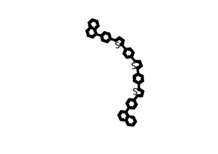 c1ccc2c(-c3ccc(-c4ccc(-c5ccc(-c6ccc(-c7ccc(-c8ccc(-c9ccc(-c%10cccc%11ccccc%10%11)cc9)s8)cc7)s6)cc5)s4)cc3)cccc2c1